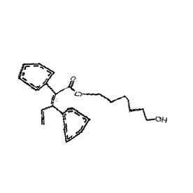 C=C/C(=C(/C(=O)OCCCCCCO)c1ccccc1)c1ccccc1